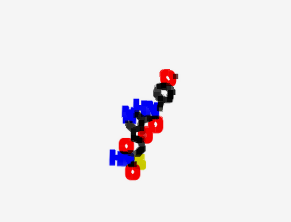 COc1ccc(CNC(=O)c2cncc3cc(C=C4SC(=O)NC4=O)oc23)cc1